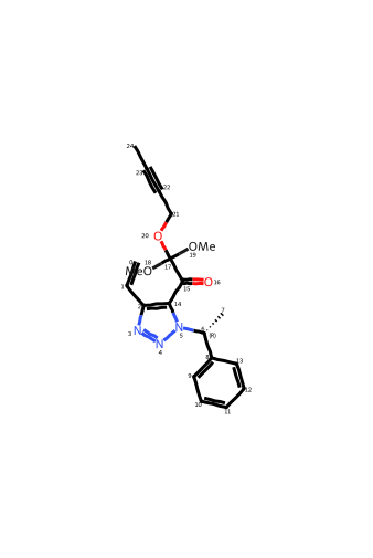 C=Cc1nnn([C@H](C)c2ccccc2)c1C(=O)C(OC)(OC)OCC#CC